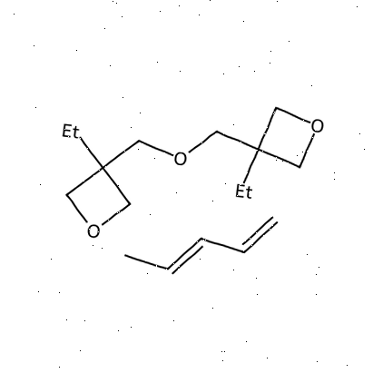 C=CC=CC.CCC1(COCC2(CC)COC2)COC1